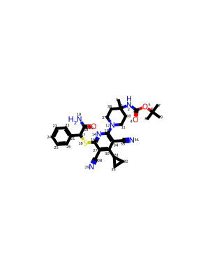 CC1(NC(=O)OC(C)(C)C)CCN(c2nc(SC(C(N)=O)c3ccccc3)c(C#N)c(C3CC3)c2C#N)CC1